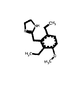 CCc1ccc(OC)c(CC)c1CC1=NCCN1